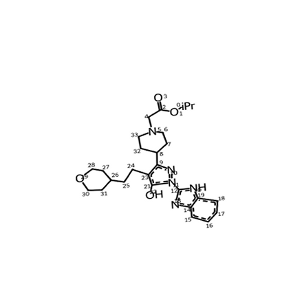 CC(C)OC(=O)CN1CCC(c2nn(-c3nc4ccccc4[nH]3)c(O)c2CCC2CCOCC2)CC1